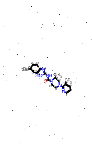 C[C@@H]1CN(c2ncccc2C(F)(F)F)CCN1C(=O)Nc1nc2ccc(C(C)(C)C)cc2[nH]1